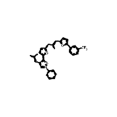 CC(C)=Cc1cn(-c2ccccc2)nc1-c1ccc(C/C(C)=C/c2ccc(-c3cccc(C(F)(F)F)c3)o2)s1